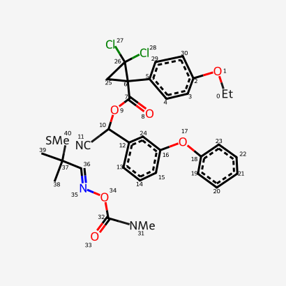 CCOc1ccc(C2(C(=O)OC(C#N)c3cccc(Oc4ccccc4)c3)CC2(Cl)Cl)cc1.CNC(=O)O/N=C/C(C)(C)SC